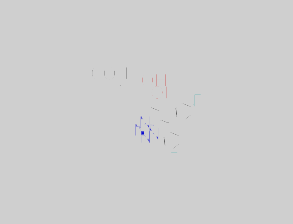 Cn1nnnc1C(/C=C/C(O)CC(O)CC(=O)O)=C(c1ccc(F)cc1)c1ccc(F)cc1